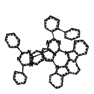 c1ccc(-c2nc(-c3ccccc3)nc(-c3cccc(-n4c5ccccc5c5ccc6c7ccccc7n(-c7nc(-c8ccccc8)nc(-c8ccccc8-c8ccccc8)n7)c6c54)c3)n2)cc1